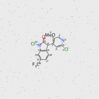 COc1cnc(Cl)cc1C1C(=O)N(Cl)c2cc(C(F)(F)F)ccc21